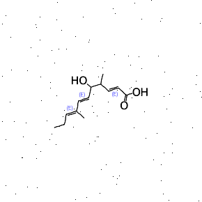 CC/C=C(C)/C=C/C(O)C(C)/C=C/C(=O)O